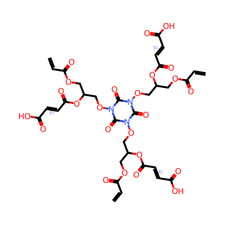 C=CC(=O)OCC(COn1c(=O)n(OCC(COC(=O)C=C)OC(=O)/C=C/C(=O)O)c(=O)n(OCC(COC(=O)C=C)OC(=O)/C=C/C(=O)O)c1=O)OC(=O)/C=C/C(=O)O